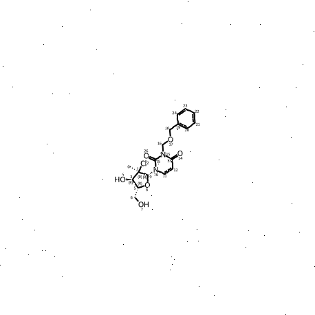 C[C@@]1(Cl)[C@H](O)[C@@H](CO)O[C@H]1n1ccc(=O)n(COCc2ccccc2)c1=O